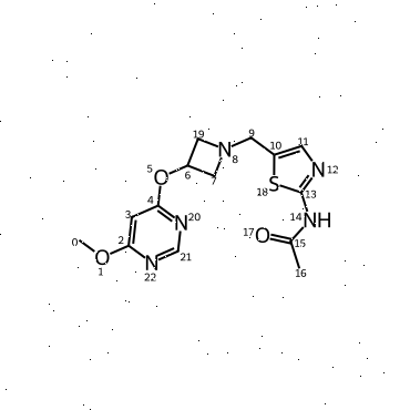 COc1cc(OC2CN(Cc3cnc(NC(C)=O)s3)C2)ncn1